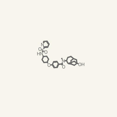 CN(C(=O)c1ccc(OC2CCC(NS(=O)(=O)c3ccccn3)CC2)cc1)C1CCC2CC3CC(O)(C2)CC31